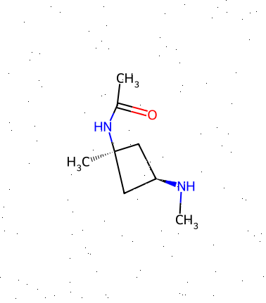 CN[C@H]1C[C@@](C)(NC(C)=O)C1